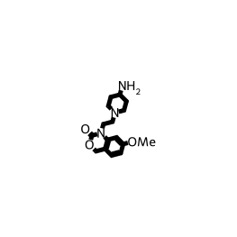 COc1ccc2c(c1)N(CCN1CCC(N)CC1)C(=O)OC2